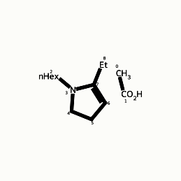 CC(=O)O.CCCCCCN1CCC=C1CC